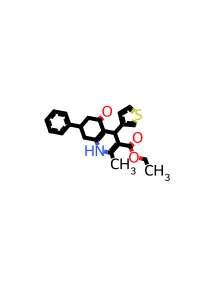 CCOC(=O)C1=C(C)NC2=C(C(=O)CC(c3ccccc3)C2)C1c1ccsc1